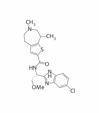 COC[C@H](NC(=O)c1cc2c(s1)C(C)CN(C)CC2)c1nc2cc(Cl)ccc2[nH]1